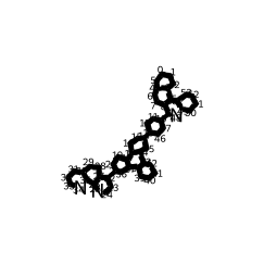 c1ccc2c(c1)ccc1c(-c3ccc(-c4ccc5c6ccc(-c7ccnc8c7ccc7cccnc78)cc6c6ccccc6c5c4)cc3)nc3ccccc3c12